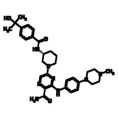 CN1CCN(c2ccc(Nc3nc(N4CCC[C@@H](NC(=O)c5ccc(C(C)(C)O)cc5)C4)cnc3C(N)=O)cc2)CC1